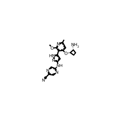 COc1nc(C)cc(O[C@H]2CC[C@H]2N)c1-c1cc(Nc2cnc(C#N)cn2)n[nH]1